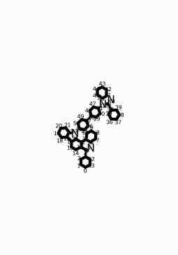 c1ccc(-c2nc3ccccc3c3c2ccc2c4ccccc4n(-c4ccc(-c5ccc(-n6c(-c7ccccc7)nc7ccccc76)cc5)cc4)c23)cc1